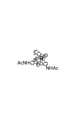 CC(=O)Nc1ccc(C(=O)[C@H](Br)C(=O)N(O)C(CS(=O)(=O)Cc2ccc3sccc3c2)c2ccc(NC(C)=O)cc2)cc1